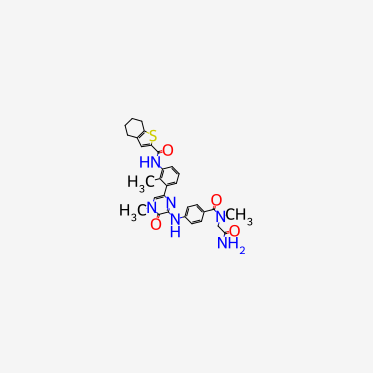 Cc1c(NC(=O)c2cc3c(s2)CCCC3)cccc1-c1cn(C)c(=O)c(Nc2ccc(C(=O)N(C)CC(N)=O)cc2)n1